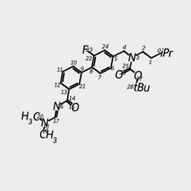 CC(C)CCN(Cc1ccc(-c2cccc(C(=O)/N=C/N(C)C)c2)c(F)c1)C(=O)OC(C)(C)C